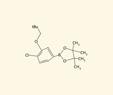 CC(C)(C)COc1cc(B2OC(C)(C)C(C)(C)O2)ccc1Cl